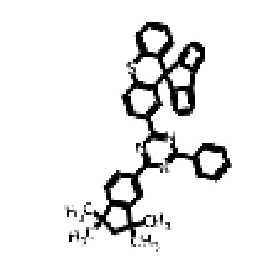 CC1(C)CC(C)(C)c2cc(-c3nc(-c4ccccc4)nc(-c4ccc5c(c4)C4(c6ccccc6S5)c5ccccc5-c5ccccc54)n3)ccc21